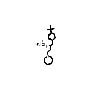 CC(C)(C)c1ccc(CNCCN2CCCCCC2)cc1.Cl.Cl